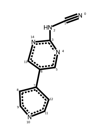 N#CNc1ncc(-c2ccncc2)cn1